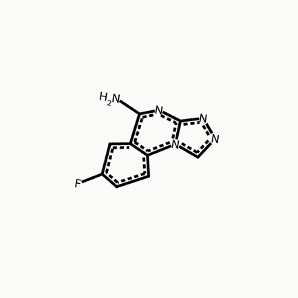 Nc1nc2nncn2c2ccc(F)cc12